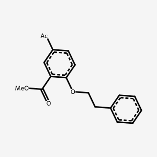 COC(=O)c1cc(C(C)=O)ccc1OCCc1ccccc1